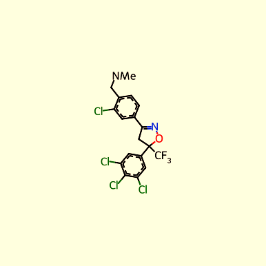 CNCc1ccc(C2=NOC(c3cc(Cl)c(Cl)c(Cl)c3)(C(F)(F)F)C2)cc1Cl